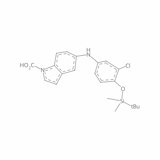 CC(C)(C)[Si](C)(C)Oc1ccc(Nc2ccc3c(ccn3C(=O)O)c2)cc1Cl